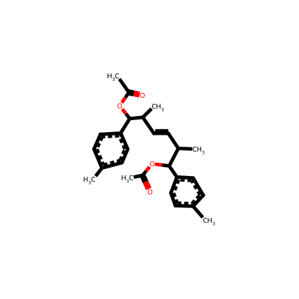 CC(=O)OC(c1ccc(C)cc1)C(C)C=CC(C)C(OC(C)=O)c1ccc(C)cc1